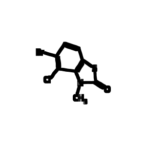 Cn1c(=O)sc2ccc(Br)c(Cl)c21